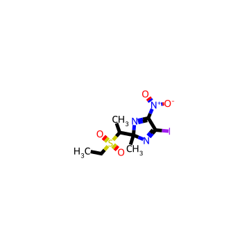 CCS(=O)(=O)C(C)C1(C)N=C(I)C([N+](=O)[O-])=N1